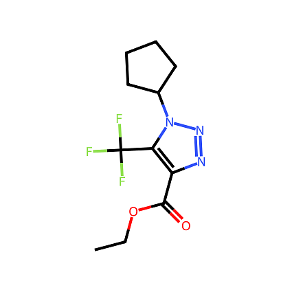 CCOC(=O)c1nnn(C2CCCC2)c1C(F)(F)F